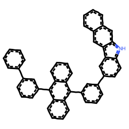 c1ccc(-c2cccc(-c3c4ccccc4c(-c4cccc(-c5ccc6[nH]c7cc8ccccc8cc7c6c5)c4)c4ccccc34)c2)cc1